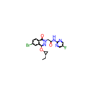 CC[C@@H]1C[C@@H]1Oc1nn(CC(=O)Nc2ncc(F)cn2)c(=O)c2ccc(Br)cc12